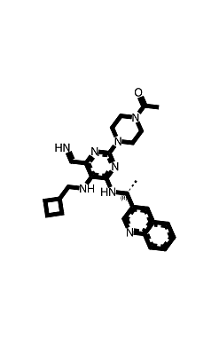 CC(=O)N1CCN(c2nc(C=N)c(NCC3CCC3)c(N[C@H](C)c3cnc4ccccc4c3)n2)CC1